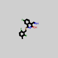 Cc1ccc(F)c(CSc2nc(O)c(C=N)c3ccc(F)cc23)c1F